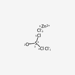 [Cl-].[Cl-].[O-][S+](Cl)Cl.[Zn+2]